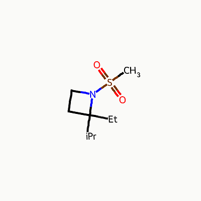 CCC1(C(C)C)CCN1S(C)(=O)=O